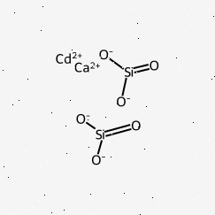 O=[Si]([O-])[O-].O=[Si]([O-])[O-].[Ca+2].[Cd+2]